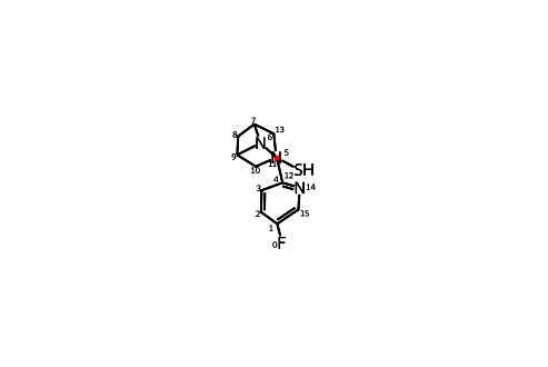 Fc1ccc(CN2C3CC2CN(S)C3)nc1